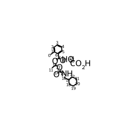 Cc1ccccc1C(=O)OC(C)OC(=O)NCC1CCCCC1.O=C(O)O